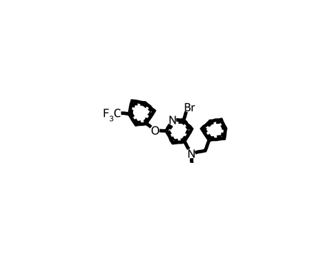 CN(Cc1ccccc1)c1cc(Br)nc(Oc2cccc(C(F)(F)F)c2)c1